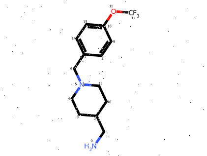 NCC1CCN(Cc2ccc(OC(F)(F)F)cc2)CC1